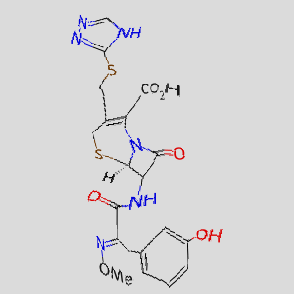 CO/N=C(/C(=O)NC1C(=O)N2C(C(=O)O)=C(CSc3nnc[nH]3)CS[C@H]12)c1cccc(O)c1